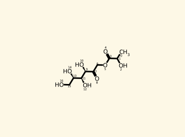 CC(O)C(=O)OCC(=O)[C@H](O)[C@@H](O)[C@H](O)CO